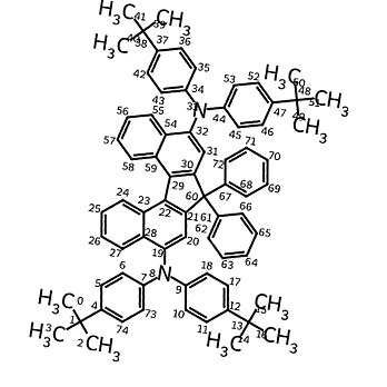 CC(C)(C)c1ccc(N(c2ccc(C(C)(C)C)cc2)c2cc3c(c4ccccc24)-c2c(cc(N(c4ccc(C(C)(C)C)cc4)c4ccc(C(C)(C)C)cc4)c4ccccc24)C3(c2ccccc2)c2ccccc2)cc1